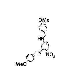 COc1ccc(CNc2cc(SCc3ccc(OC)cc3)c([N+](=O)[O-])cn2)cc1